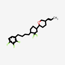 C/C=C/C1CCC(C2CCC(CCCCc3ccc(F)c(F)c3F)C(F)(F)C2)OC1